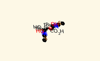 CC(C)(C)c1cc(CC(CCOC(Cc2cc(-n3nc4ccc(Sc5ccccc5)cc4n3)c(O)c(C(C)(C)C)c2)C(=O)O)C(=O)O)cc(-n2nc3ccc(Sc4ccccc4)cc3n2)c1O